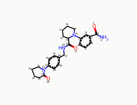 NC(=O)c1cccc(N2CCCCC2C(=O)NCc2ccc(N3CCCCC3=O)cc2)c1